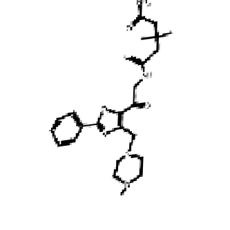 CN1CCN(Cc2nc(-c3ccccc3)oc2C(=O)CNC(=O)CC(C)(C)CC(N)=O)CC1